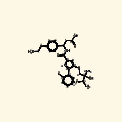 CCOc1ccc(C(CC(=O)O)NC(=O)c2cc(OCC(C)(O)C(C)C)n(-c3ccccc3F)n2)cc1